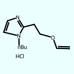 C=COCCc1nccn1CCCC.Cl